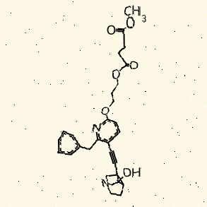 COC(=O)CCC(=O)OCCCOc1ccc(C#CC2(O)CN3CCC2CC3)c(Cc2ccccc2)n1